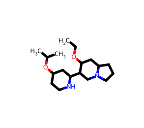 CCOC1CC2CCCN2CC1C1CC(OC(C)C)CCN1